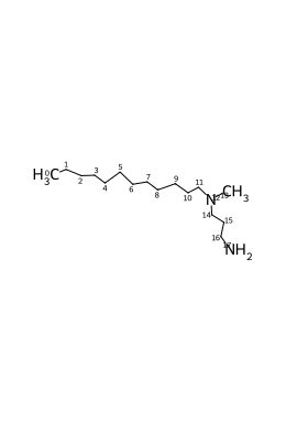 CCCCCCCCCCCCN(C)CCCN